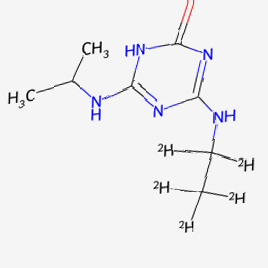 [2H]C([2H])([2H])C([2H])([2H])Nc1nc(NC(C)C)[nH]c(=O)n1